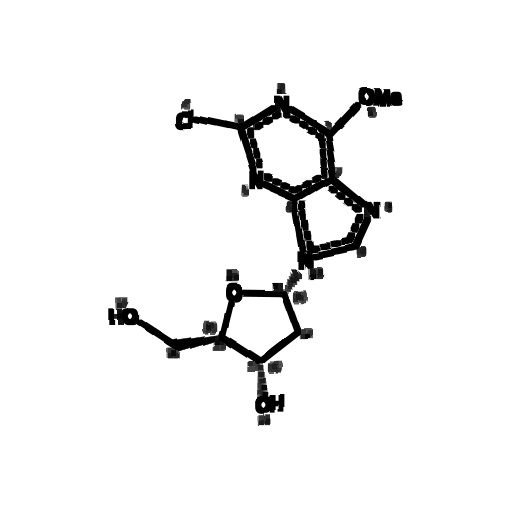 COc1nc(Cl)nc2c1ncn2[C@@H]1C[C@H](O)[C@@H](CO)O1